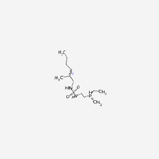 C=[PH](CC)CCNS(=O)(=O)NC/C(C)=C/CCC